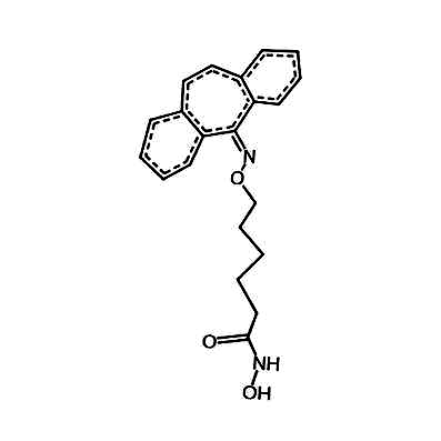 O=C(CCCCCON=c1c2ccccc2ccc2ccccc12)NO